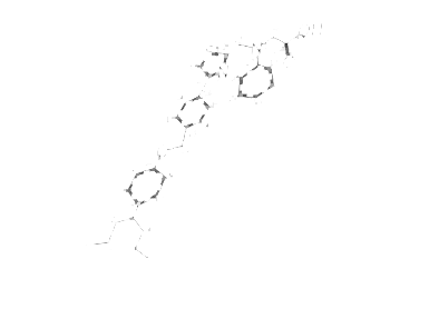 CCCC(CCC)c1ccc(OCc2ccc(-c3csc(CN(CC(=O)O)c4ccccc4)n3)cc2)cc1